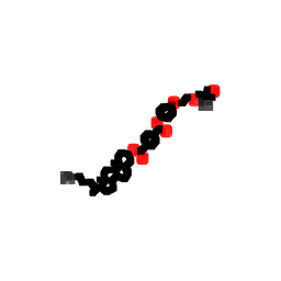 CCC1(COCCOc2ccc(OC(=O)c3ccc(C(=O)OC4CCC5(C)C(=CCC6C5CCC5(C)C(C(C)CCCC(C)C)CCC65)C4)cc3)cc2)COC1